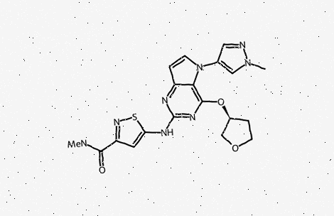 CNC(=O)c1cc(Nc2nc(O[C@H]3CCOC3)c3c(ccn3-c3cnn(C)c3)n2)sn1